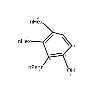 CCCCCCc1ccc(O)c(CCCCC)c1CCCCCC